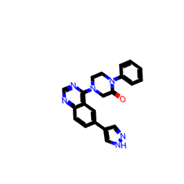 O=C1CN(c2ncnc3ccc(-c4cn[nH]c4)cc23)CCN1c1ccccc1